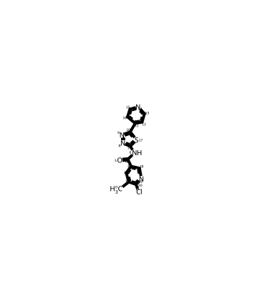 Cc1cc(C(=O)Nc2nnc(-c3ccncc3)s2)cnc1Cl